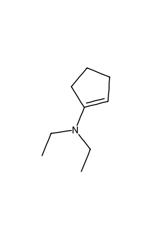 CCN(CC)C1=CCCC1